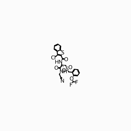 N#CCNC(=O)[C@H](CS(=O)(=O)Cc1ccccc1OC(F)F)NC(=O)c1sc2ccccc2c1Cl